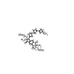 CCCCCCCCCCCCC1(C)C(=O)c2cc3c(cc2=C1C)C(=O)C(C)(CCCCCCCCCCCC)C=3c1ccc(-c2ccc(-c3ccc(C)s3)s2)s1